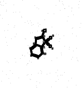 O=S1(=O)C(Cl)=Cc2ccccc21